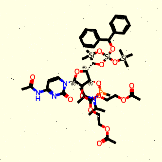 CC(=O)Nc1ccn([C@@H]2O[C@H](CO[Si](OC(c3ccccc3)c3ccccc3)(O[Si](C)(C)C)O[Si](C)(C)C)[C@H](OP(C)N(C(C)C)C(C)C)C2OC(OCCOC(C)=O)OCCOC(C)=O)c(=O)n1